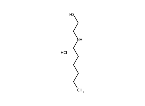 CCCCCCNCCS.Cl